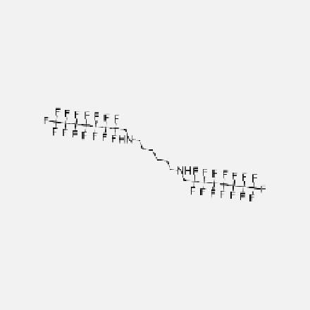 FC(F)(F)C(F)(F)C(F)(F)C(F)(F)C(F)(F)C(F)(F)C(F)(F)CNCCCCCCNCC(F)(F)C(F)(F)C(F)(F)C(F)(F)C(F)(F)C(F)(F)C(F)(F)F